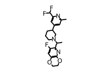 Cc1cc(C2CCCN(C(C)c3nc4c(cc3F)OCCO4)C2)cc(C(F)F)n1